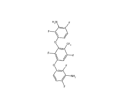 Nc1c(F)ccc(Oc2cc(F)c(C(F)(F)F)c(Oc3ccc(F)c(N)c3F)c2F)c1F